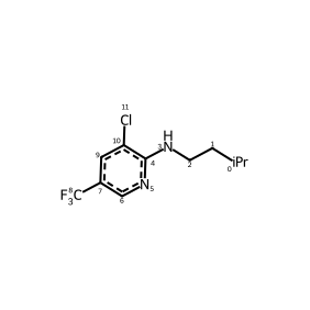 CC(C)CCNc1ncc(C(F)(F)F)cc1Cl